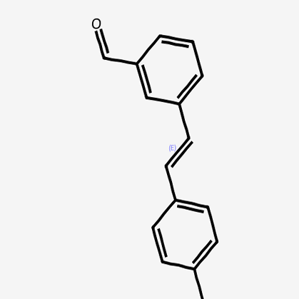 Cc1ccc(/C=C/c2cccc(C=O)c2)cc1